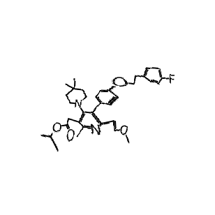 CO/C=C/c1nc(C)c(CC(=O)OC(C)C)c(N2CCC(C)(C)CC2)c1-c1ccc(OCCc2ccc(F)cc2)cc1